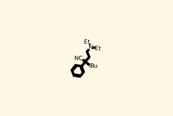 CCC(C)C(C#N)(CCN(CC)CC)c1ccccc1